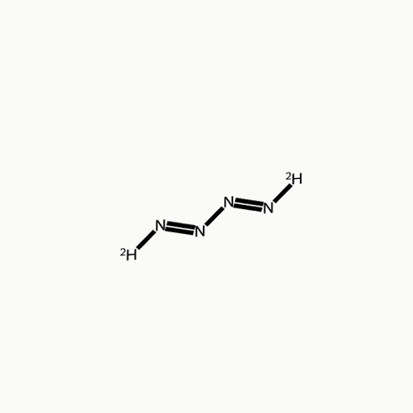 [2H]/N=N/N=N/[2H]